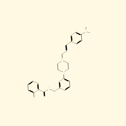 Cc1ccccc1C(=O)NCc1cccc(N2CCN(C/C=C/c3ccc(N(C)C)cc3)CC2)c1